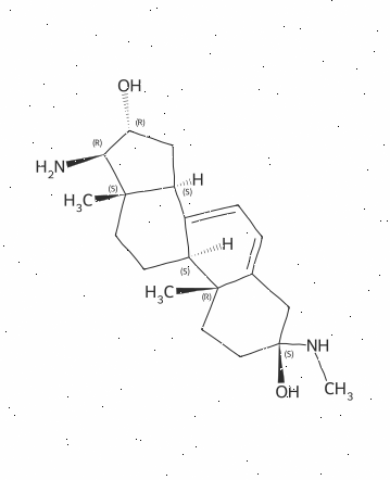 CN[C@]1(O)CC[C@@]2(C)C(=CC=C3[C@@H]4C[C@@H](O)[C@H](N)[C@@]4(C)CC[C@@H]32)C1